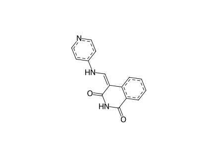 O=C1NC(=O)c2ccccc2C1=CNc1ccncc1